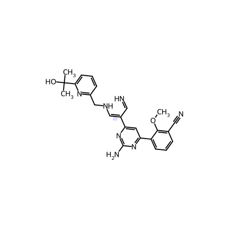 COc1c(C#N)cccc1-c1cc(/C(C=N)=C/NCc2cccc(C(C)(C)O)n2)nc(N)n1